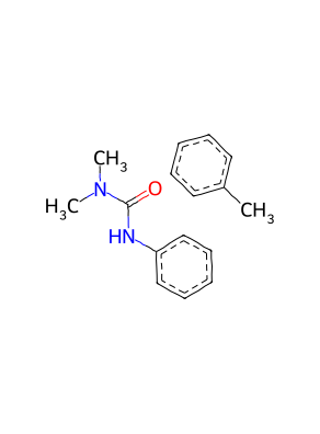 CN(C)C(=O)Nc1ccccc1.Cc1ccccc1